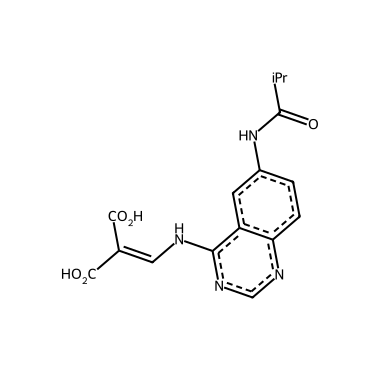 CC(C)C(=O)Nc1ccc2ncnc(NC=C(C(=O)O)C(=O)O)c2c1